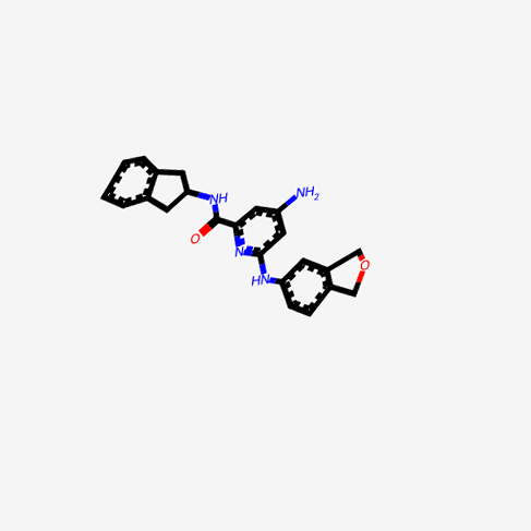 Nc1cc(Nc2ccc3c(c2)COC3)nc(C(=O)NC2Cc3ccccc3C2)c1